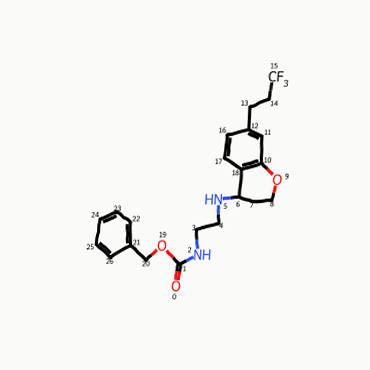 O=C(NCCNC1CCOc2cc(CCC(F)(F)F)ccc21)OCc1ccccc1